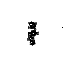 O=S(=O)(Nc1nccs1)c1cc(Cl)c(O[C@@H]2C[C@H]3CC[C@@H](C2)N3)cc1F